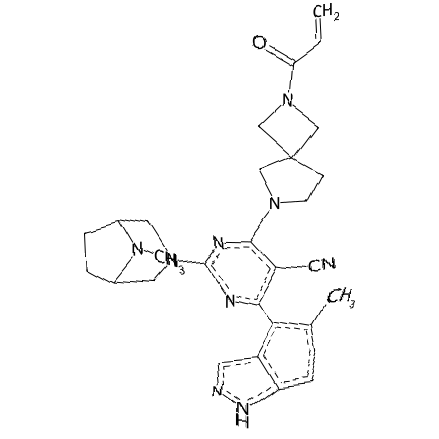 C=CC(=O)N1CC2(CCN(c3nc(N4CC5CCC(C4)N5C)nc(-c4c(C)ccc5[nH]ncc45)c3C#N)C2)C1